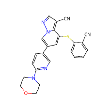 N#Cc1ccccc1Sc1cc(-c2ccc(N3CCOCC3)nc2)cn2ncc(C#N)c12